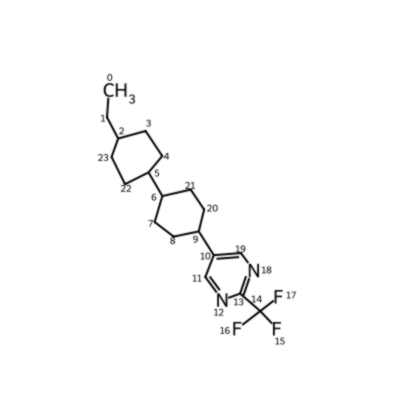 CCC1CCC(C2CCC(c3cnc(C(F)(F)F)nc3)CC2)CC1